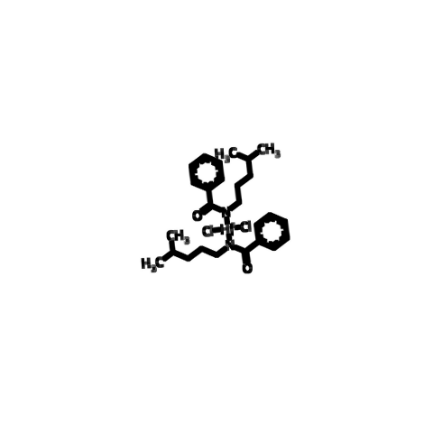 CC(C)CCC[N](C(=O)c1ccccc1)[Hf]([Cl])([Cl])[N](CCCC(C)C)C(=O)c1ccccc1